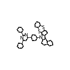 c1ccc(-c2cc(-c3ccc(-n4c5ccc6ccccc6c5c5ccc6c(c54)Sc4ccccc4S6)cc3)nc(-c3ccccc3)n2)cc1